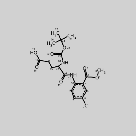 COC(=O)c1cc(Cl)ccc1NC(=O)C(CCC(=O)O)NC(=O)OC(C)(C)C